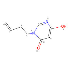 C=CCCn1cnc(O)cc1=O